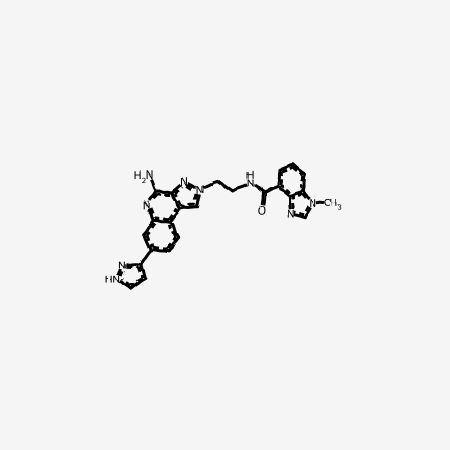 Cn1cnc2c(C(=O)NCCn3cc4c(n3)c(N)nc3cc(-c5cc[nH]n5)ccc34)cccc21